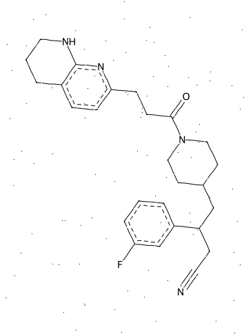 N#CCC(CC1CCN(C(=O)CCc2ccc3c(n2)NCCC3)CC1)c1cccc(F)c1